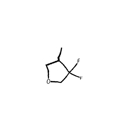 CC1COCC1(F)F